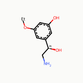 CCOc1cc(O)cc([C@@H](O)CN)c1